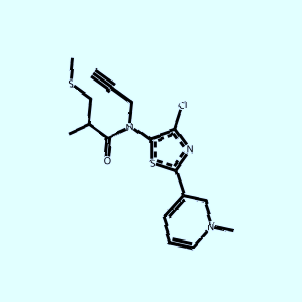 C#CCN(C(=O)C(C)CSC)c1sc(C2=CC=CN(C)C2)nc1Cl